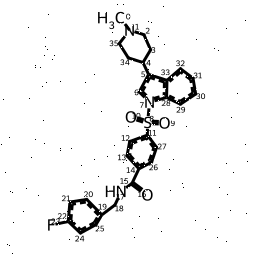 CN1CCC(c2cn(S(=O)(=O)c3ccc(C(=O)NCc4ccc(F)cc4)cc3)c3ccccc23)CC1